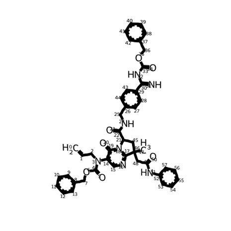 C=CCN(C(=O)OCc1ccccc1)c1cnc2n(c1=O)C(C(=O)NCc1ccc(C(=N)NC(=O)OCc3ccccc3)cc1)CC2(C)CC(=O)Nc1ccccc1